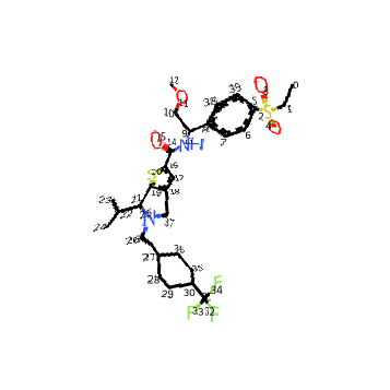 CCS(=O)(=O)c1ccc(C(COC)NC(=O)c2cc3c(s2)C(C(C)C)N(CC2CCC(C(F)(F)F)CC2)C3)cc1